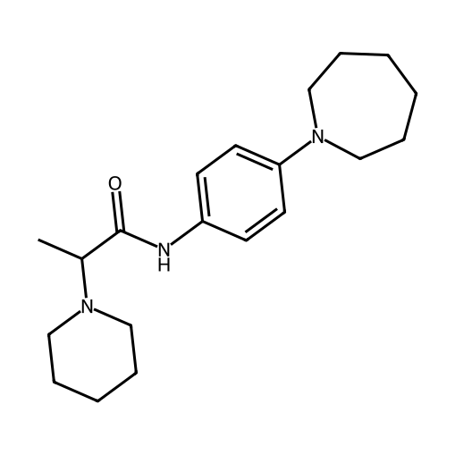 CC(C(=O)Nc1ccc(N2CCCCCC2)cc1)N1CCCCC1